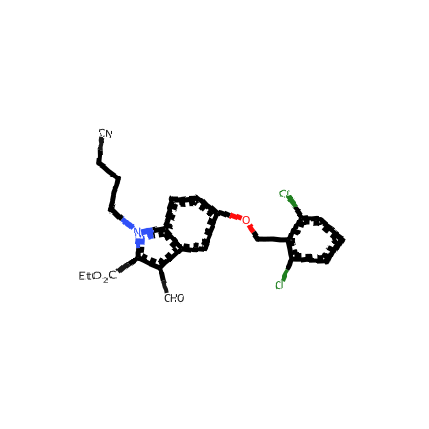 CCOC(=O)c1c(C=O)c2cc(OCc3c(Cl)cccc3Cl)ccc2n1CCCC#N